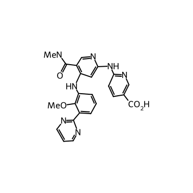 CNC(=O)c1cnc(Nc2ccc(C(=O)O)cn2)cc1Nc1cccc(-c2ncccn2)c1OC